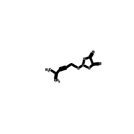 C=C(C)C#CCOn1oc(=O)c(=O)o1